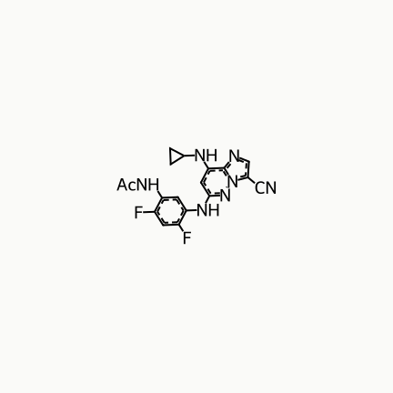 CC(=O)Nc1cc(Nc2cc(NC3CC3)c3ncc(C#N)n3n2)c(F)cc1F